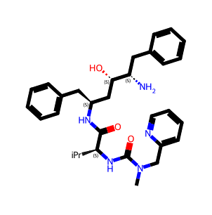 CC(C)[C@H](NC(=O)N(C)Cc1ccccn1)C(=O)N[C@@H](Cc1ccccc1)C[C@H](O)[C@@H](N)Cc1ccccc1